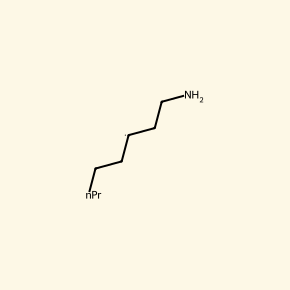 CCCCC[CH]CCN